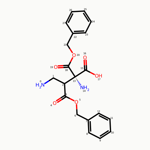 NCC(C(=O)OCc1ccccc1)[C@](N)(C(=O)O)C(=O)OCc1ccccc1